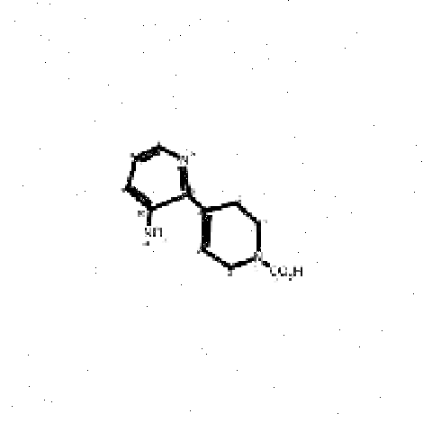 O=C(O)N1CC=C(c2ncccc2[N+](=O)[O-])CC1